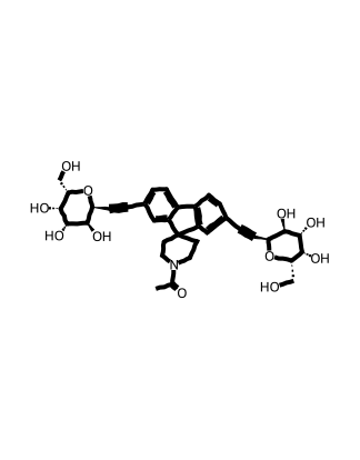 CC(=O)N1CCC2(CC1)c1cc(C#C[C@@H]3O[C@@H](CO)[C@@H](O)[C@@H](O)[C@@H]3O)ccc1-c1ccc(C#C[C@@H]3O[C@@H](CO)[C@@H](O)[C@@H](O)[C@@H]3O)cc12